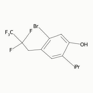 CC(C)c1cc(CC(F)(F)C(F)(F)F)c(Br)cc1O